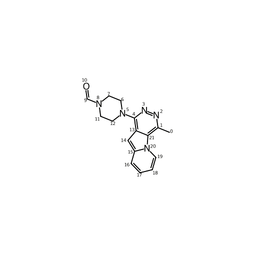 Cc1nnc(N2CCN(C=O)CC2)c2cc3ccccn3c12